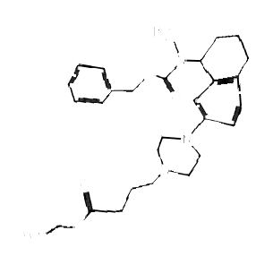 CCOC(=O)CCCN1CCN(c2ccc3c(c2)C(N(C)C(=O)OCc2ccccc2)CCC3)CC1